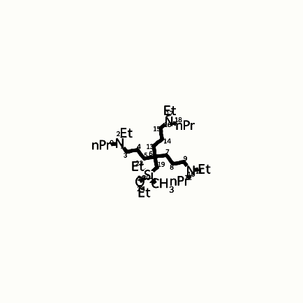 CCCN(CC)CCCC(CCCN(CC)CCC)(CCCN(CC)CCC)C[Si](C)(CC)OCC